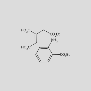 CCOC(=O)C/C(=C/C(=O)O)C(=O)O.CCOC(=O)c1ccccc1N